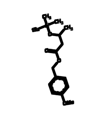 COc1ccc(COC(=O)CC(C)O[Si](C)(C)C(C)(C)C)cc1